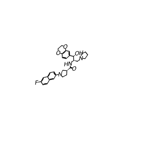 O=C(N[C@H](CN1CCCC1)[C@H](O)c1ccc2c(c1)OCCO2)[C@H]1CCN(c2ccc3cc(F)ccc3c2)C1